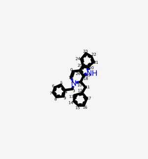 C1=CN(Cc2ccccc2)C(Cc2ccccc2)c2[nH]c3ccccc3c21